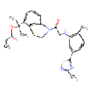 C=CC(=O)OC(C)(C)c1cccc2c1CCN2C(=O)CNc1cc(-c2nc(C)ns2)ccc1C